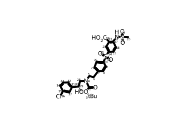 CC(C)(C)OC(=O)N(CCc1ccc(S(=O)(=O)c2ccc(NS(C)(=O)=O)c(C(=O)O)c2)cc1)C[C@H](O)c1cccc(Cl)c1